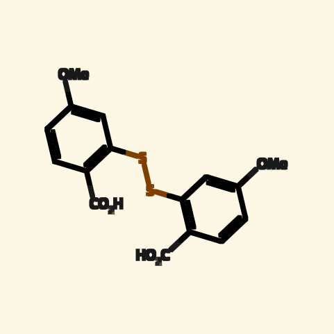 COc1ccc(C(=O)O)c(SSc2cc(OC)ccc2C(=O)O)c1